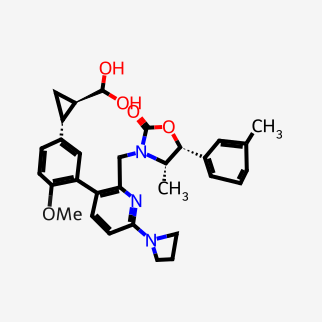 COc1ccc([C@@H]2C[C@H]2C(O)O)cc1-c1ccc(N2CCC2)nc1CN1C(=O)O[C@H](c2cccc(C)c2)[C@@H]1C